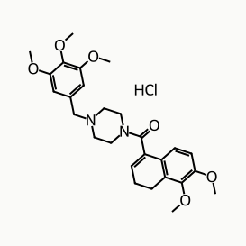 COc1cc(CN2CCN(C(=O)C3=CCCc4c3ccc(OC)c4OC)CC2)cc(OC)c1OC.Cl